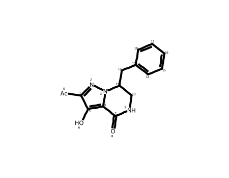 CC(=O)c1nn2c(c1O)C(=O)NCC2Cc1ccccc1